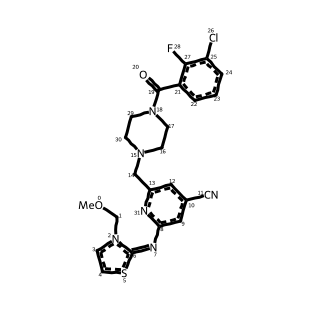 COCn1ccsc1=Nc1cc(C#N)cc(CN2CCN(C(=O)c3cccc(Cl)c3F)CC2)n1